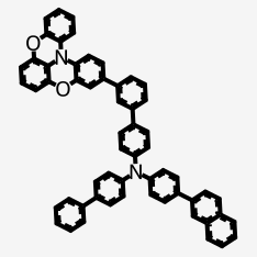 c1ccc(-c2ccc(N(c3ccc(-c4cccc(-c5ccc6c(c5)Oc5cccc7c5N6c5ccccc5O7)c4)cc3)c3ccc(-c4ccc5ccccc5c4)cc3)cc2)cc1